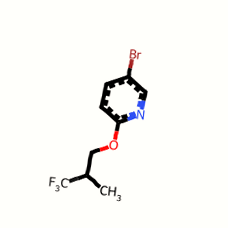 CC(COc1ccc(Br)cn1)C(F)(F)F